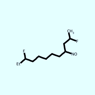 CCC(F)CCCCCC(CC(C)F)N=O